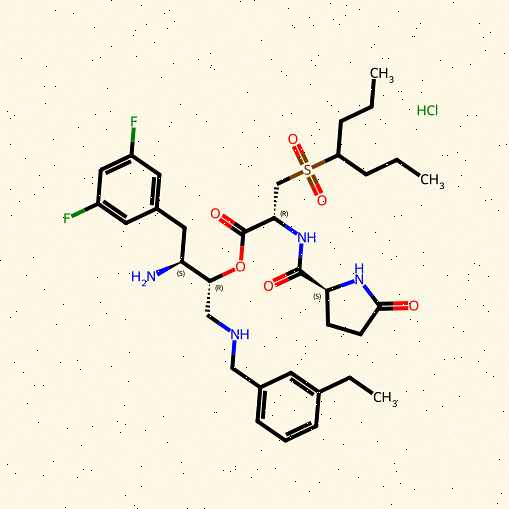 CCCC(CCC)S(=O)(=O)C[C@H](NC(=O)[C@@H]1CCC(=O)N1)C(=O)O[C@H](CNCc1cccc(CC)c1)[C@@H](N)Cc1cc(F)cc(F)c1.Cl